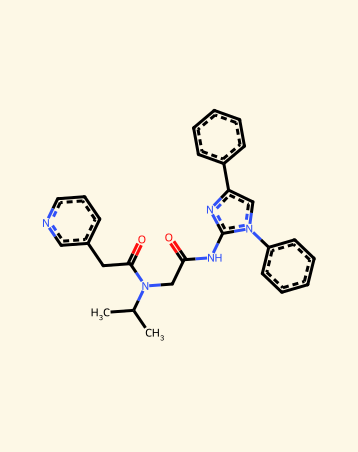 CC(C)N(CC(=O)Nc1nc(-c2ccccc2)cn1-c1ccccc1)C(=O)Cc1cccnc1